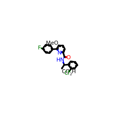 COc1ccc(C(=O)NC(CC(=O)O)c2ccccc2Cl)nc1-c1ccc(F)cc1